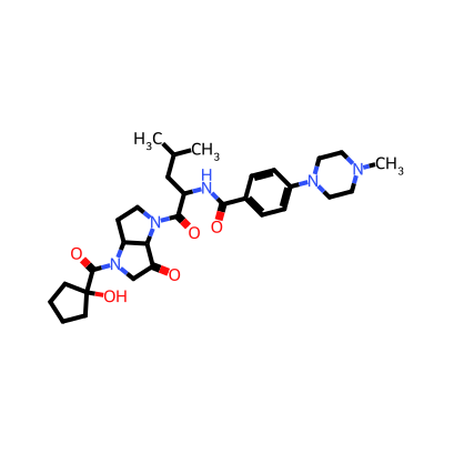 CC(C)CC(NC(=O)c1ccc(N2CCN(C)CC2)cc1)C(=O)N1CCC2C1C(=O)CN2C(=O)C1(O)CCCC1